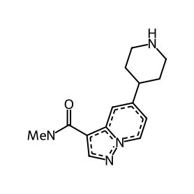 CNC(=O)c1cnn2ccc(C3CCNCC3)cc12